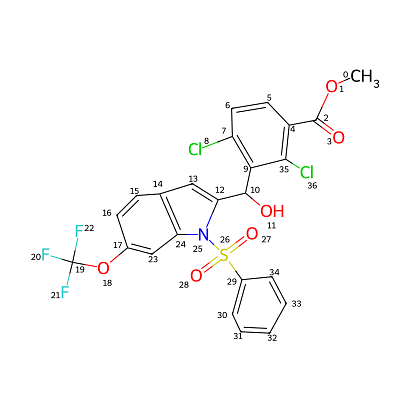 COC(=O)c1ccc(Cl)c(C(O)c2cc3ccc(OC(F)(F)F)cc3n2S(=O)(=O)c2ccccc2)c1Cl